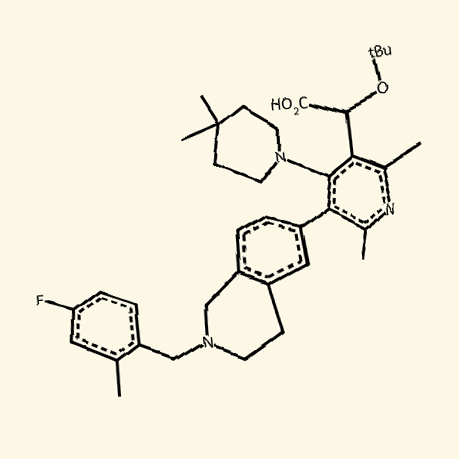 Cc1cc(F)ccc1CN1CCc2cc(-c3c(C)nc(C)c(C(OC(C)(C)C)C(=O)O)c3N3CCC(C)(C)CC3)ccc2C1